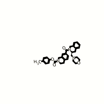 Cc1ccc(OC(=O)N2CCc3ccc(C(=O)N4Cc5ccccc5C[C@H]4CN4CCOCC4)cc3C2)cc1